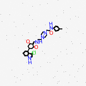 Cc1ccc(NC(=O)CN2CCN(CCNC=C3C(=O)CC(c4cccc5[nH]cc(Cl)c45)CC3=O)CC2)cc1